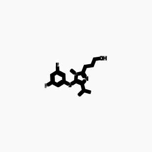 CC(C)c1nc(CCCO)n(C)c1Sc1cc(F)cc(F)c1